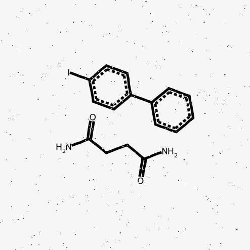 Ic1ccc(-c2ccccc2)cc1.NC(=O)CCC(N)=O